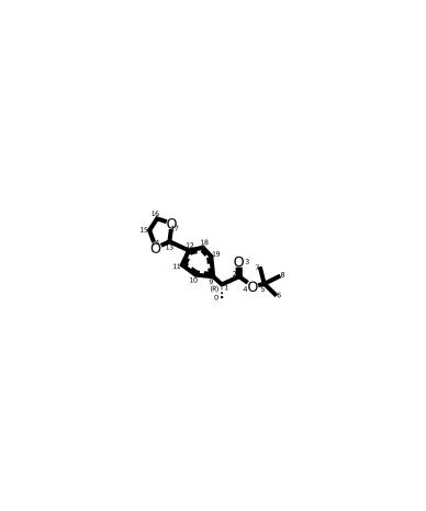 C[C@@H](C(=O)OC(C)(C)C)c1ccc(C2OCCO2)cc1